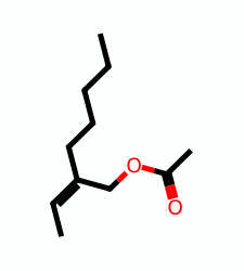 C/C=C(/CCCCC)COC(C)=O